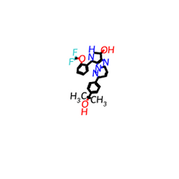 CC(C)(O)c1ccc(-c2ccc3nc4c(n3n2)C(c2ccccc2OC(F)F)NCC4O)cc1